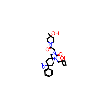 CN(C)[C@]1(c2ccccc2)CC[C@@]2(CC1)CN(CC(=O)N1CCC(C)(O)CC1)C(=O)N2CC1(O)CCC1